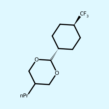 CCCC1COC([C@H]2CC[C@H](C(F)(F)F)CC2)OC1